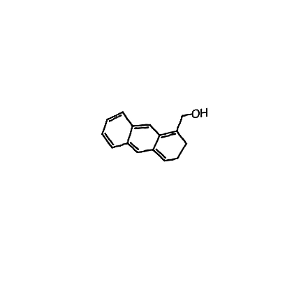 OCC1=c2cc3ccccc3cc2=CCC1